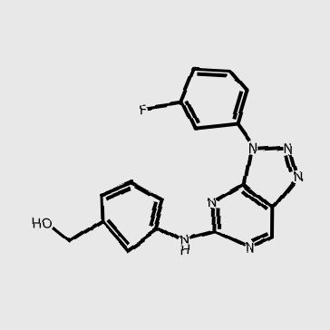 OCc1cccc(Nc2ncc3nnn(-c4cccc(F)c4)c3n2)c1